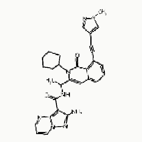 CC(NC(=O)c1c(N)nn2cccnc12)c1cc2cccc(C#Cc3cnn(C)c3)c2c(=O)n1C1CCCCC1